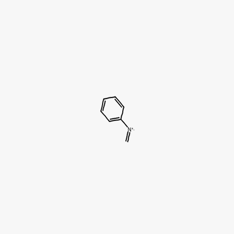 C=[N+]c1ccccc1